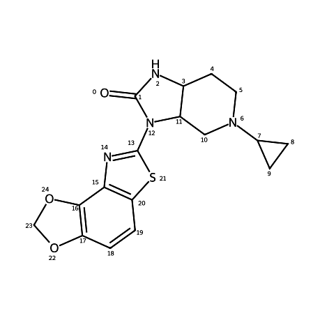 O=C1NC2CCN(C3CC3)CC2N1c1nc2c3c(ccc2s1)OCO3